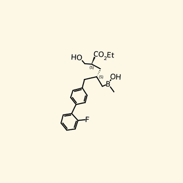 CCOC(=O)[C@H](CO)C[C@H](CB(C)O)Cc1ccc(-c2ccccc2F)cc1